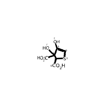 O=C(O)C1SC=C(O)C1(O)C(=O)O